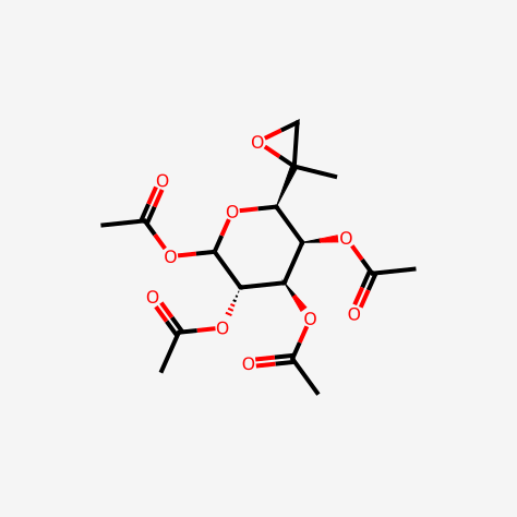 CC(=O)OC1O[C@@H](C2(C)CO2)[C@@H](OC(C)=O)[C@@H](OC(C)=O)[C@@H]1OC(C)=O